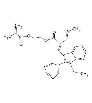 C=C(C)C(=O)OCCOC(=O)C(/C=N/C)=C/c1c(-c2ccccc2)n(CC)c2ccccc12